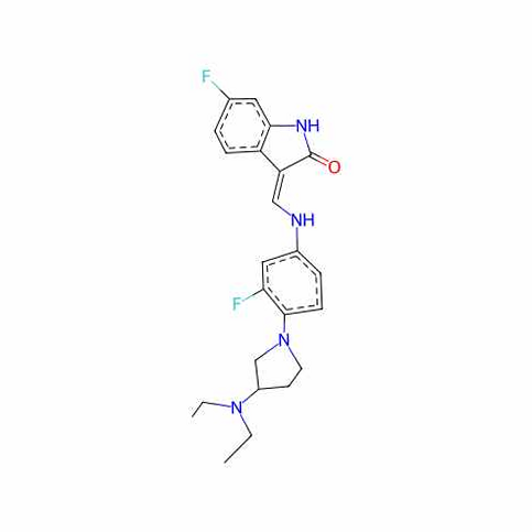 CCN(CC)C1CCN(c2ccc(N/C=C3\C(=O)Nc4cc(F)ccc43)cc2F)C1